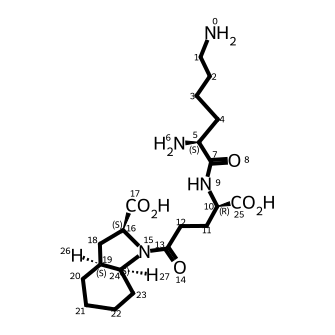 NCCCC[C@H](N)C(=O)N[C@H](CCC(=O)N1[C@H](C(=O)O)C[C@@H]2CCCC[C@@H]21)C(=O)O